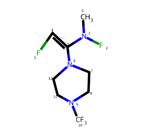 CN(F)/C(=C/F)N1CCN(C(F)(F)F)CC1